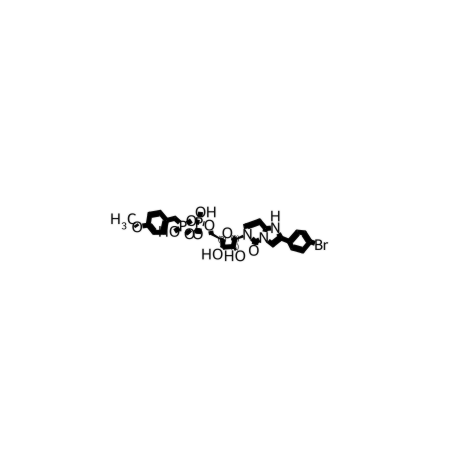 COc1ccc(CP(=O)(O)OP(=O)(O)OC[C@H]2O[C@@H](N3C=CC4NC(c5ccc(Br)cc5)=CN4C3=O)[C@@H](O)C2O)cc1